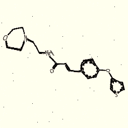 O=C(C=Cc1ccc(Oc2ccsc2)cc1)NCCN1CCOCC1